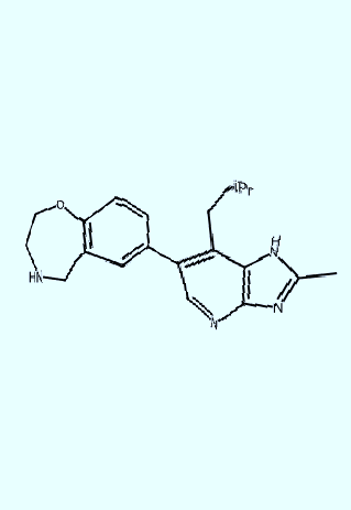 Cc1nc2ncc(-c3ccc4c(c3)CNCCO4)c(CC(C)C)c2[nH]1